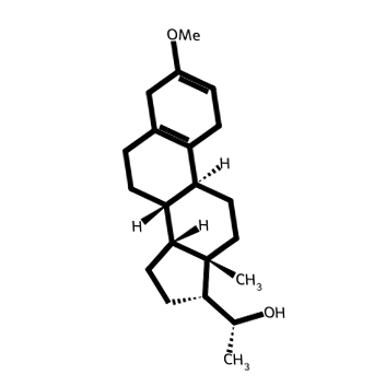 COC1=CCC2=C(CC[C@@H]3[C@@H]2CC[C@@]2(C)[C@@H]3CC[C@H]2[C@@H](C)O)C1